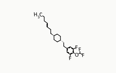 CCC/C=C/CC[C@H]1CC[C@H](CCc2cc(F)c(OC(F)F)c(F)c2)CC1